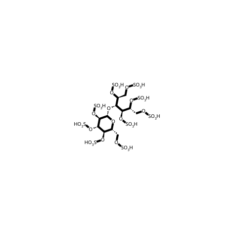 O=S(=O)(O)OC[C@H](OS(=O)(=O)O)[C@@H](O[C@@H]1O[C@H](COS(=O)(=O)O)[C@@H](OS(=O)(=O)O)[C@H](OS(=O)(=O)O)[C@H]1OS(=O)(=O)O)[C@H](OS(=O)(=O)O)[C@@H](COS(=O)(=O)O)OS(=O)(=O)O